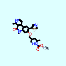 Cc1nccc2c1c(=O)n(C)c1cc(OCC(C)CC(C)NC(=O)OC(C)(C)C)c(-c3cncs3)cc21